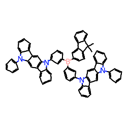 CC1(C)c2ccccc2-c2cc(B(c3cccc(-n4c5ccccc5c5cc6c(cc54)c4ccccc4n6-c4ccccc4)c3)c3cccc(-n4c5ccccc5c5cc6c(cc54)c4ccccc4n6-c4ccccc4)c3)ccc21